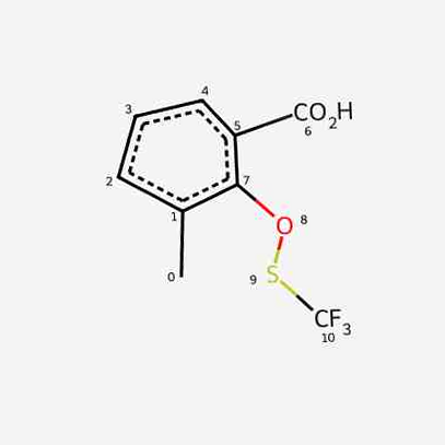 Cc1cccc(C(=O)O)c1OSC(F)(F)F